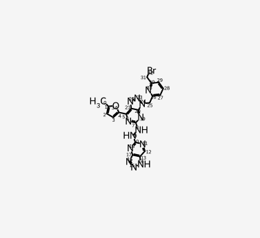 Cc1ccc(-c2nc(NNc3ncc4[nH]nnc4n3)nc3c2nnn3Cc2cccc(CBr)n2)o1